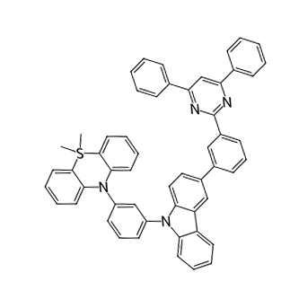 CS1(C)c2ccccc2N(c2cccc(-n3c4ccccc4c4cc(-c5cccc(-c6nc(-c7ccccc7)cc(-c7ccccc7)n6)c5)ccc43)c2)c2ccccc21